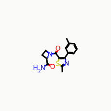 Cc1cccc(-c2nc(C)sc2C(=O)N2CCC2C(N)=O)c1